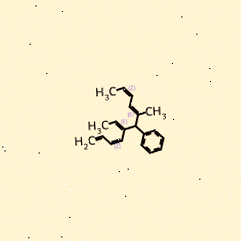 C=C/C=C\C(=C/C)C(/C(C)=C/C=C\C)c1ccccc1